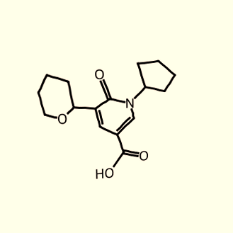 O=C(O)c1cc(C2CCCCO2)c(=O)n(C2CCCC2)c1